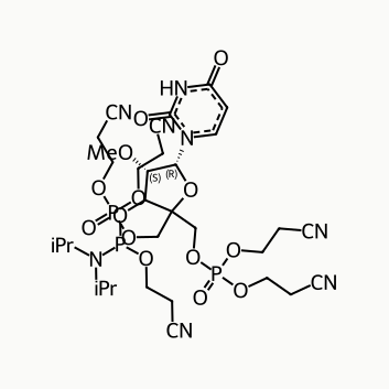 CO[C@H]1C(OP(OCCC#N)N(C(C)C)C(C)C)C(COP(=O)(OCCC#N)OCCC#N)(COP(=O)(OCCC#N)OCCC#N)O[C@H]1n1ccc(=O)[nH]c1=O